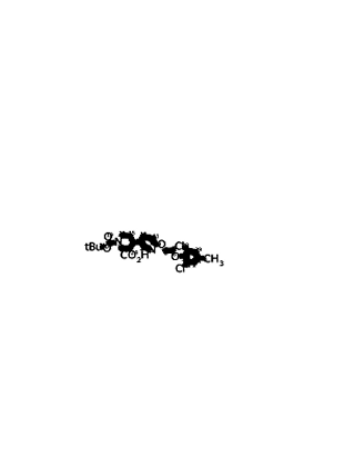 Cc1cc(Cl)c(OCCOc2ccc(C3CCN(C(=O)OC(C)(C)C)CC3C(=O)O)cn2)c(Cl)c1